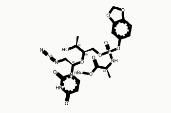 CCCCOC(=O)[C@H](C)NP(=O)(OC[C@@H](O[C@H](CN=[N+]=[N-])n1ccc(=O)[nH]c1=O)[C@H](C)O)Oc1ccc2c(c1)OCO2